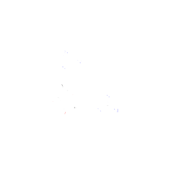 N=C(N)NCC[C@H]1O[C@H](CCNC(=N)N)[C@@H](O)[C@@H]1O